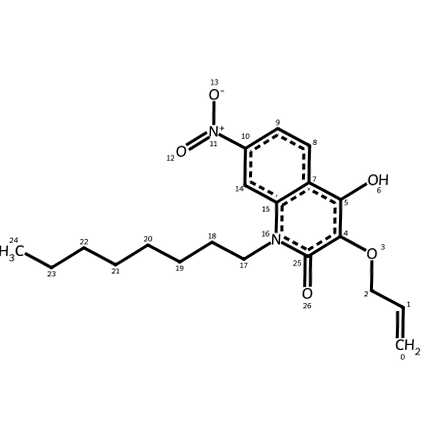 C=CCOc1c(O)c2ccc([N+](=O)[O-])cc2n(CCCCCCCC)c1=O